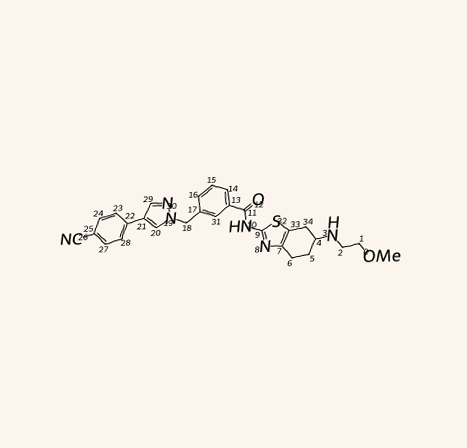 COCCNC1CCc2nc(NC(=O)c3cccc(Cn4cc(-c5ccc(C#N)cc5)cn4)c3)sc2C1